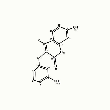 Cc1c(Cc2ccnc(N)c2)c(=O)oc2cc(O)ccc12